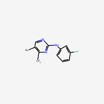 CC(=O)c1cnc(Nc2cccc(F)c2)nc1C(F)(F)F